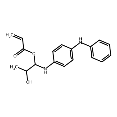 C=CC(=O)OC(Nc1ccc(Nc2ccccc2)cc1)C(C)O